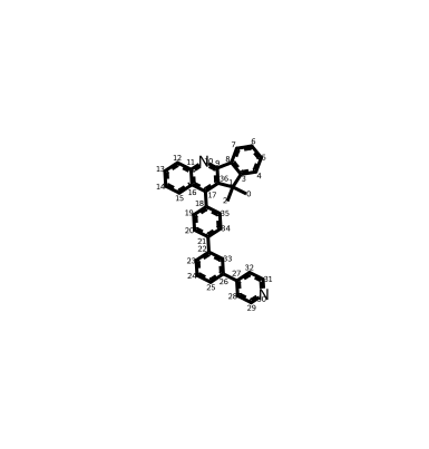 CC1(C)c2ccccc2-c2nc3ccccc3c(-c3ccc(-c4cccc(-c5ccncc5)c4)cc3)c21